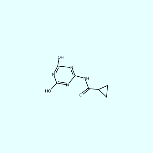 O=C(Nc1nc(O)nc(O)n1)C1CC1